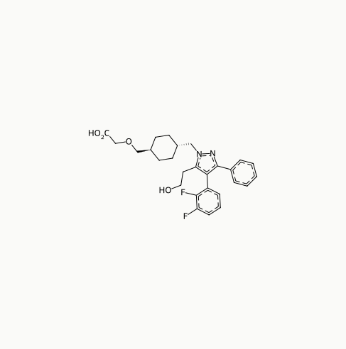 O=C(O)COC[C@H]1CC[C@H](Cn2nc(-c3ccccc3)c(-c3cccc(F)c3F)c2CCO)CC1